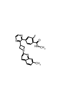 CNC(=O)c1ccc(-c2nccnc2C2CN(c3ccc4ccc(C)cc4n3)C2)cc1F